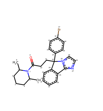 CC1CCCC(C)N1C(=O)CCC1(c2ccc(Br)cc2)c2ccccc2-c2nccn21